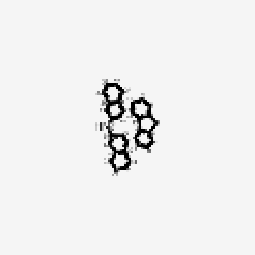 c1ccc2c(c1)Cc1ccccc1-2.c1ccc2cc(Nc3ccc4ccccc4c3)ccc2c1